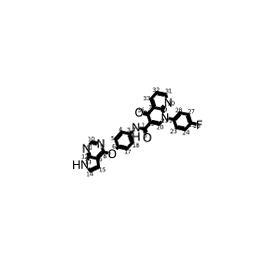 O=C(Nc1ccc(Oc2ncnc3[nH]ccc23)cc1)c1cn(-c2ccc(F)cc2)c2ncccc2c1=O